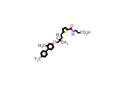 Cc1cc(OCC(C)(C)CCc2ccc(C(=O)NCCC(=O)O)s2)ccc1-c1ccc(C(F)(F)F)cc1